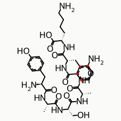 C[C@H](NC(=O)[C@H](CO)NC(=O)[C@H](C)NC(=O)[C@@H](N)Cc1ccc(O)cc1)C(=O)N[C@@H](CC(N)=O)C(=O)N[C@@H](Cc1ccccc1)C(=O)N[C@@H](CCCCN)C(=O)O